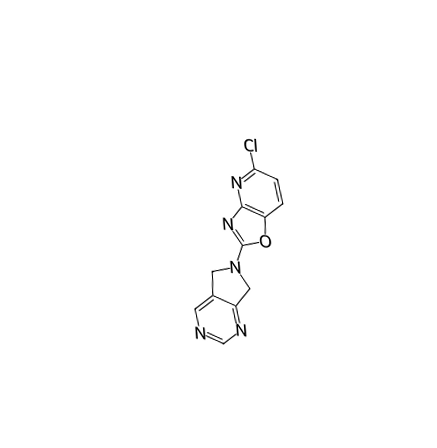 Clc1ccc2oc(N3Cc4cncnc4C3)nc2n1